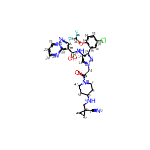 N#CC1(CNC2CCN(C(=O)Cn3cc(NC(O)c4cnn5cccnc45)c(-c4cc(Cl)ccc4OC(F)F)n3)CC2)CC1